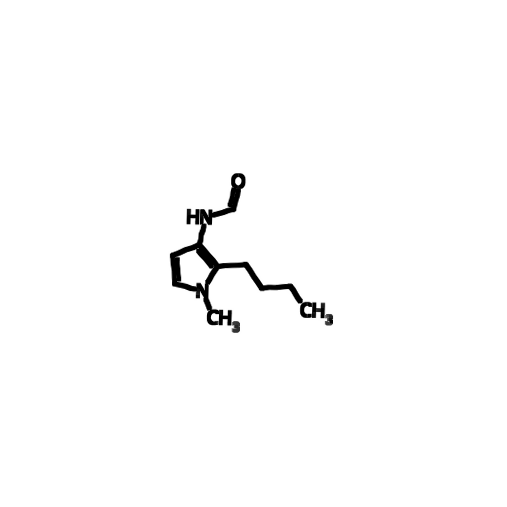 CCCCc1c(NC=O)ccn1C